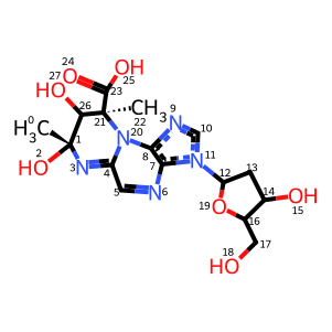 C[C@]1(O)N=C2C=Nc3c(ncn3C3CC(O)C(CO)O3)N2[C@](C)(C(=O)O)C1O